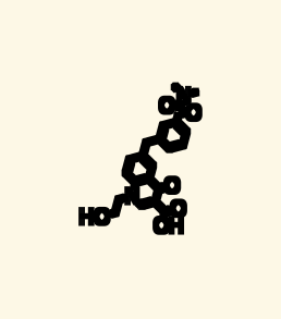 CN(C)S(=O)(=O)c1cccc(Cc2ccc3c(c2)c(=O)c(C(=O)O)cn3CCO)c1